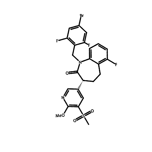 COc1ncc([C@H]2CCc3c(F)cccc3N(Cc3c(F)cc(Br)cc3F)C2=O)cc1S(C)(=O)=O